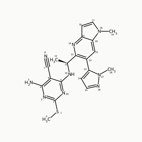 CSc1nc(N)c(C#N)c(N[C@@H](C)c2nc3ccn(C)c3cc2-c2ccnn2C)n1